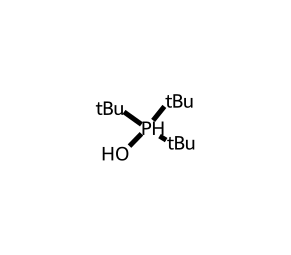 CC(C)(C)[PH](O)(C(C)(C)C)C(C)(C)C